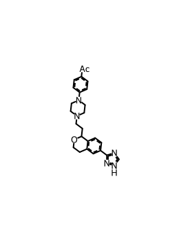 CC(=O)c1ccc(N2CCN(CCC3OCCc4cc(-c5nc[nH]n5)ccc43)CC2)cc1